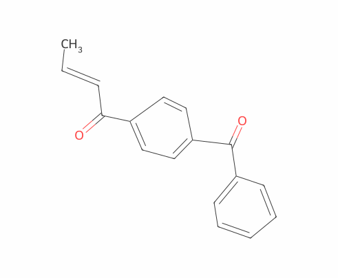 CC=CC(=O)c1ccc(C(=O)c2ccccc2)cc1